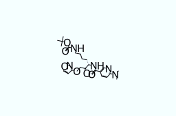 CN(C)c1ccc(C(=O)N[C@@H](CCCCNC(=O)OC(C)(C)C)C(=O)COc2ccon2)cn1